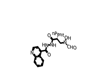 CCCCC[C@H](CN(O)C=O)C(=O)NNC(=O)c1ccnc2ccccc12